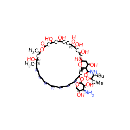 CCC(C)[C@H](NC(=O)C1[C@@H]2CC(O[C@@H]3OC[C@@H](O)[C@H](N)[C@@H]3O)/C=C/C=C/C=C/C=C/C=C/C=C/C=C/[C@H](C)[C@@H](O)C[C@H](C)OC(=O)CC(O)CC(O)CC[C@@H](O)C(O)CC(O)CC(O)(C[C@@H]1O)O2)C(=O)OC